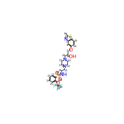 Cc1nc2cc(OC[C@H](O)CN3CCN(CCNS(=O)(=O)c4ccccc4OC(F)(F)F)CC3)ccc2s1